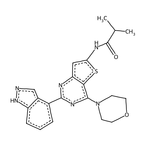 CC(C)C(=O)Nc1cc2nc(-c3cccc4[nH]ncc34)nc(N3CCOCC3)c2s1